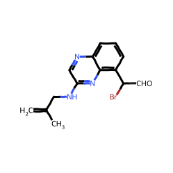 C=C(C)CNc1cnc2cccc(C(Br)C=O)c2n1